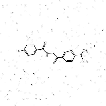 CN(C)c1ccc(C(=O)CNC(=O)c2ccc(F)cc2)cc1